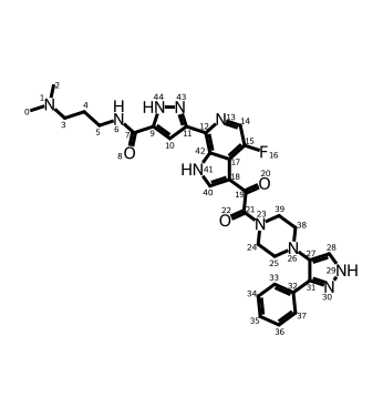 CN(C)CCCNC(=O)c1cc(-c2ncc(F)c3c(C(=O)C(=O)N4CCN(c5c[nH]nc5-c5ccccc5)CC4)c[nH]c23)n[nH]1